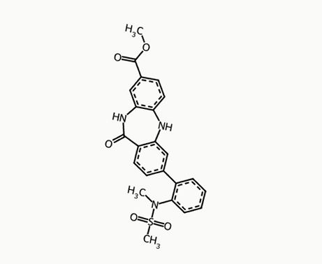 COC(=O)c1ccc2c(c1)NC(=O)c1ccc(-c3ccccc3N(C)S(C)(=O)=O)cc1N2